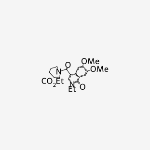 CCOC(=O)C1CCCCN1C(=O)c1cn(CC)c(=O)c2cc(OC)c(OC)cc12